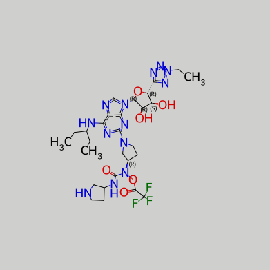 CCC(CC)Nc1nc(N2CC[C@@H](N(OC(=O)C(F)(F)F)C(=O)NC3CCNC3)C2)nc2c1ncn2[C@@H]1O[C@H](c2nnn(CC)n2)[C@@H](O)[C@H]1O